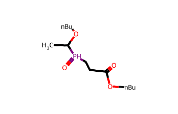 CCCCOC(=O)CC[PH](=O)C(C)OCCCC